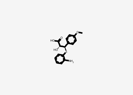 COc1ccc([C@@H](Sc2ccccc2N)[C@H](O)C(=O)O)cc1